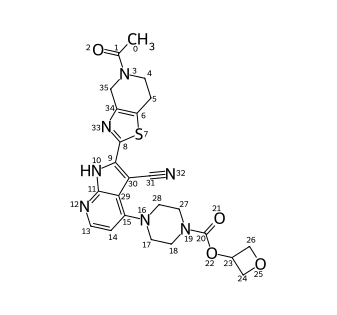 CC(=O)N1CCc2sc(-c3[nH]c4nccc(N5CCN(C(=O)OC6COC6)CC5)c4c3C#N)nc2C1